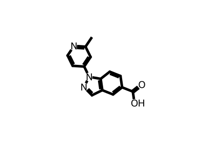 Cc1cc(-n2ncc3cc(C(=O)O)ccc32)ccn1